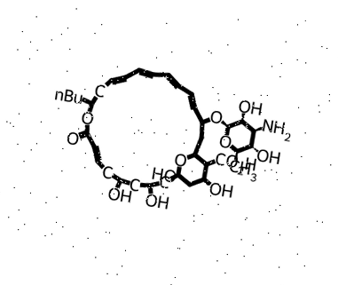 CCCCC1C/C=C/C=C/C=C/C=C/C(O[C@@H]2O[C@H](C)[C@@H](O)[C@H](N)[C@@H]2O)CC2OC(O)(CC(O)CC(O)C/C=C/C(=O)O1)CC(O)C2C(=O)O